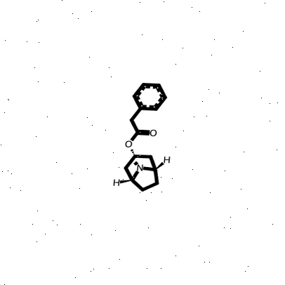 CN1[C@@H]2CC[C@H]1C[C@@H](OC(=O)Cc1ccccc1)C2